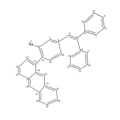 [2H]c1cc(C=C(c2ccccc2)c2ccccc2)ccc1-c1cccc2cc3ccccc3cc12